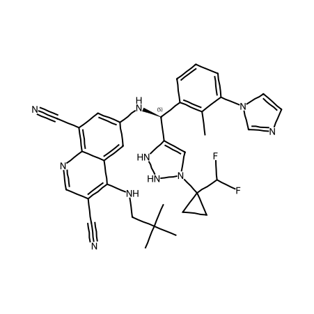 Cc1c([C@H](Nc2cc(C#N)c3ncc(C#N)c(NCC(C)(C)C)c3c2)C2=CN(C3(C(F)F)CC3)NN2)cccc1-n1ccnc1